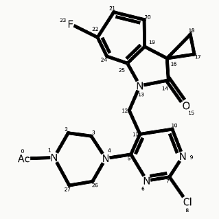 CC(=O)N1CCN(c2nc(Cl)ncc2CN2C(=O)C3(CC3)c3ccc(F)cc32)CC1